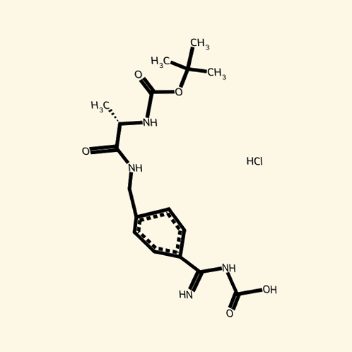 C[C@H](NC(=O)OC(C)(C)C)C(=O)NCc1ccc(C(=N)NC(=O)O)cc1.Cl